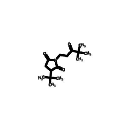 CC(C)(C)C(=O)CCN1C(=O)CC(C(C)(C)C)C1=O